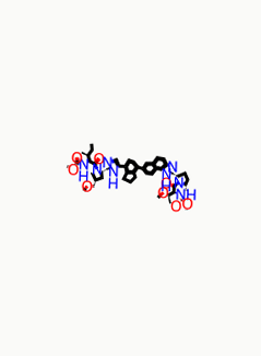 CC[C@H](C)[C@H](NC(=O)OC)C(=O)N1C[C@@H](COC)C[C@H]1c1ncc(-c2ccc(-c3ccc4c(ccc5nc([C@@H]6CC[C@H](C)N6C(=O)[C@@H](NC(=O)OC)[C@@H](C)OC)[nH]c54)c3)c3c2CCC3)[nH]1